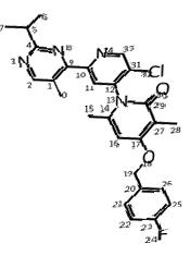 Cc1cnc(C(C)C)nc1-c1cc(-n2c(C)cc(OCc3ccc(F)cc3)c(C)c2=O)c(Cl)cn1